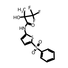 CC(O)(C(=O)Nc1ccc(S(=O)(=O)c2ccccc2)s1)C(F)(F)F